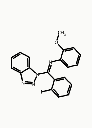 COc1ccccc1/N=C(\c1ccccc1I)n1nnc2ccccc21